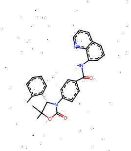 Cc1ccccc1[C@@H]1N(c2ccc(C(=O)Nc3cccc4cccnc34)cc2)C(=O)OC1(C)C